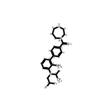 CC(N(CC(F)F)c1cccc(-c2ccc(C(=O)N3CCCOCC3)cc2)c1N)C(F)(F)F